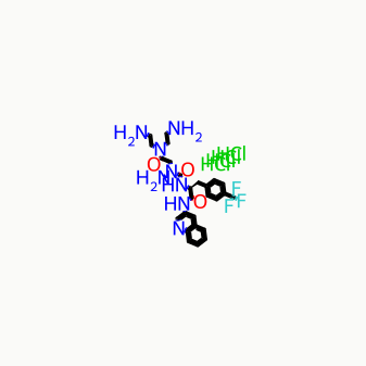 Cl.Cl.Cl.Cl.NCCN(CCN)C(=O)CN(N)C(=O)N[C@@H](Cc1ccc(C(F)(F)F)cc1)C(=O)Nc1cnc2ccccc2c1